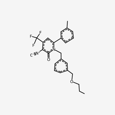 [C-]#[N+]c1c(C(F)(F)F)cc(-c2cccc(C)c2)n(Cc2cccc(COCCC)c2)c1=O